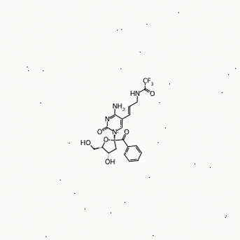 Nc1nc(=O)n([C@@]2(C(=O)c3ccccc3)C[C@H](O)[C@@H](CO)O2)cc1/C=C/CNC(=O)C(F)(F)F